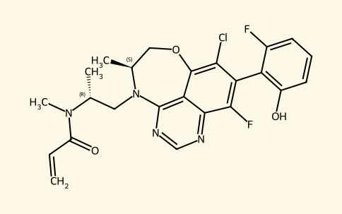 C=CC(=O)N(C)[C@H](C)CN1c2ncnc3c(F)c(-c4c(O)cccc4F)c(Cl)c(c23)OC[C@@H]1C